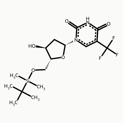 CC(C)(C)[Si](C)(C)OC[C@H]1O[C@@H](n2cc(C(F)(F)F)c(=O)[nH]c2=O)C[C@@H]1O